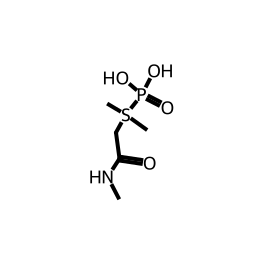 CNC(=O)CS(C)(C)P(=O)(O)O